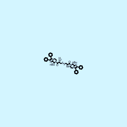 CCCC[C@H]1c2nc(-c3ccccc3)c(-c3ccccc3)n2CCN1C(=O)[C@@H](N)CSSC[C@H](N)C(=O)N1CCn2c(nc(-c3ccccc3)c2-c2ccccc2)[C@@H]1CCCC